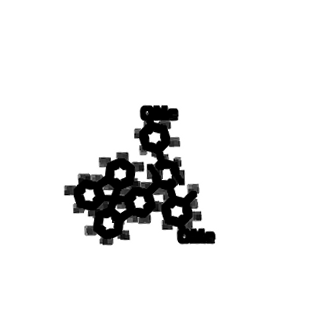 COc1ccc(-c2cnc(-c3ccc(OC)cc3C)c(-c3ccc4c(c3)C3(c5ccccc5-c5ccccc53)c3ccccc3-4)n2)cc1